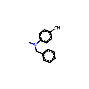 CN(Cc1ccccc1)c1ccc(C#N)cc1